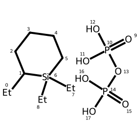 CCC1CCCC[Si]1(CC)CC.O=P(O)(O)OP(=O)(O)O